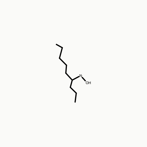 CCCCCC(CCC)[N]O